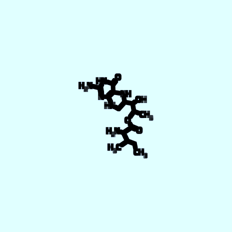 CCC(C)C(N)C(=O)OC(C)C(O)C1CNc2nc(N)[nH]c(=O)c2N1